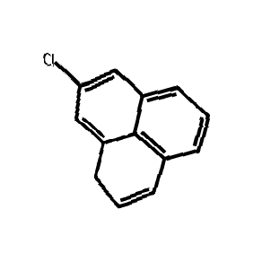 Clc1cc2c3c(cccc3c1)C=CC2